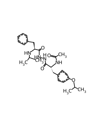 CC(=O)N[C@H](Cc1ccc(OC(C)C)cc1)C(=O)NNC(=O)[C@H](Cc1ccccc1)NC(C)C